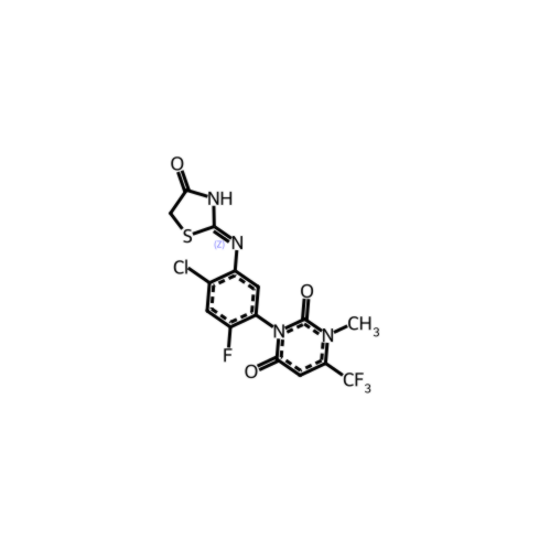 Cn1c(C(F)(F)F)cc(=O)n(-c2cc(/N=C3/NC(=O)CS3)c(Cl)cc2F)c1=O